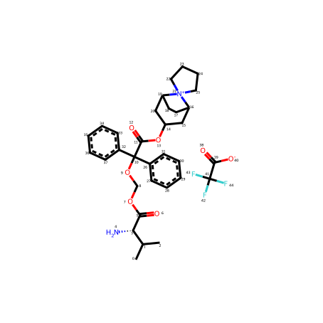 CC(C)[C@H](N)C(=O)OCOC(C(=O)OC1CC2CCC(C1)[N+]21CCCC1)(c1ccccc1)c1ccccc1.O=C([O-])C(F)(F)F